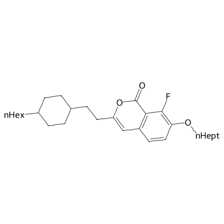 CCCCCCCOc1ccc2cc(CCC3CCC(CCCCCC)CC3)oc(=O)c2c1F